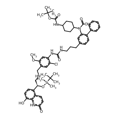 COc1cc(NC(=O)NCCCc2ccc(-c3ccccc3)c(N(C(=O)O)C3CCC(NC(=O)OC(C)(C)C)CC3)c2)c(Cl)cc1CNC[C@@H](O[Si](C)(C)C(C)(C)C)c1ccc(O)c2[nH]c(=O)ccc12